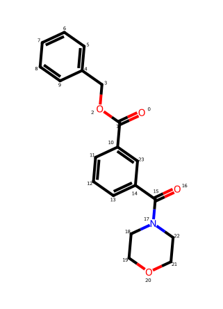 O=C(OCc1ccccc1)c1cccc(C(=O)N2CCOCC2)c1